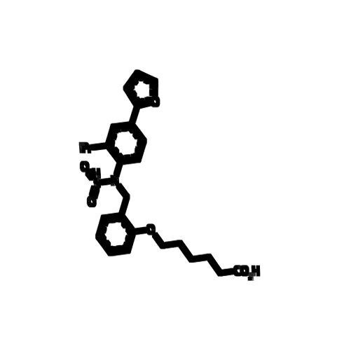 CC(C)c1cc(-c2ccco2)ccc1N(Cc1ccccc1OCCCCCC(=O)O)[SH](=O)=O